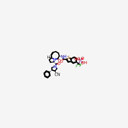 N#C[C@@H]1CN(C(=O)[C@@H]2CC[C@@H]3/C=C\CC[C@H](NC(=O)c4cc5cc(C(F)(F)P(=O)(O)O)ccc5s4)C(=O)N32)C[C@H]1c1ccccc1